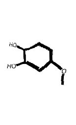 COC1C=C(O)C(O)CC1